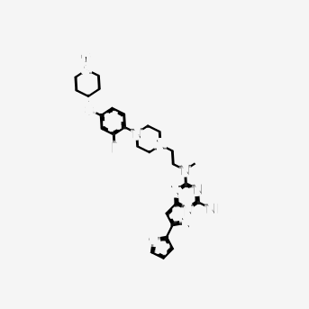 CN(CCN1CCN(c2ccc(O[C@H]3CC[S@+]([O-])CC3)cc2F)CC1)c1nc(N)n2nc(-c3ccco3)cc2n1